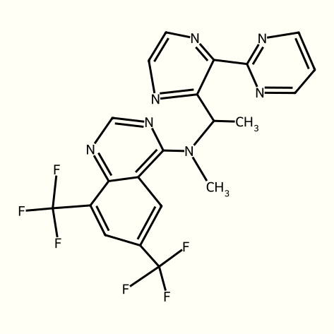 CC(c1nccnc1-c1ncccn1)N(C)c1ncnc2c(C(F)(F)F)cc(C(F)(F)F)cc12